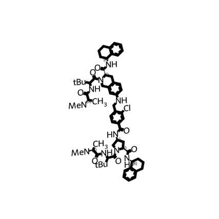 CN[C@@H](C)C(=O)NC(C(=O)N1Cc2cc(NCc3ccc(C(=O)N[C@H]4C[C@@H](C(=O)N[C@@H]5CCCc6ccccc65)N(C(=O)C(NC(=O)[C@H](C)NC)C(C)(C)C)C4)cc3Cl)ccc2C[C@H]1C(=O)N[C@@H]1CCCc2ccccc21)C(C)(C)C